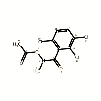 CC(=O)ON(C)C(=O)c1c(Cl)ccc(Cl)c1Cl